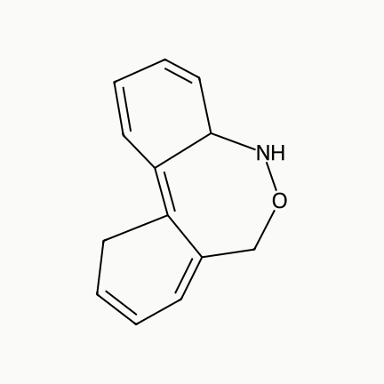 C1=CCC2=C3C=CC=CC3NOCC2=C1